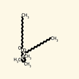 CCCCCCCCC=CCCCCCCCC(=O)OCC(C[n+]1c(C)cc(C)cc1C)OC(=O)CCCCCCCC=CCCCCCCCC